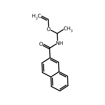 C=COC(C)NC(=O)c1ccc2ccccc2c1